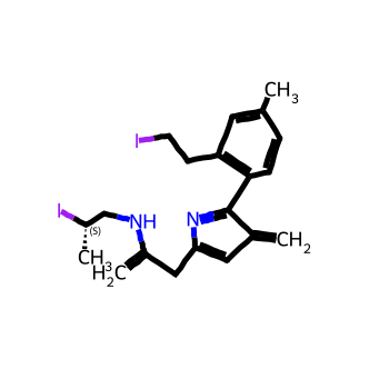 C=C(CC1=CC(=C)C(c2ccc(C)cc2CCI)=N1)NC[C@H](C)I